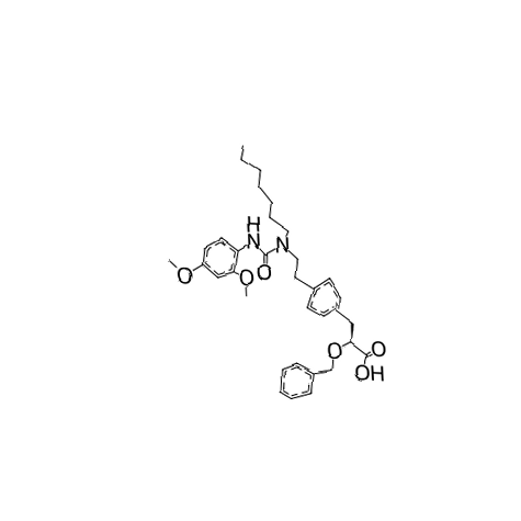 CCCCCCCN(CCc1ccc(C[C@H](OCc2ccccc2)C(=O)O)cc1)C(=O)Nc1ccc(OC)cc1OC